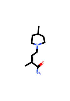 CC(=CCN1CCC(C)CC1)C(N)=O